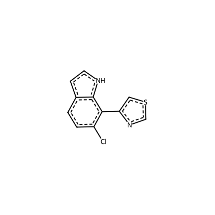 Clc1ccc2cc[nH]c2c1-c1cscn1